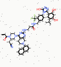 C=CC(=O)N1CCN(c2nc(NCCC(=O)NCc3ccc(-n4c(O)nnc4-c4cc(C(C)C)c(O)cc4O)cc3C(F)(F)F)nc3c2CCN(c2cccc4ccccc24)C3)C[C@H]1CC#N